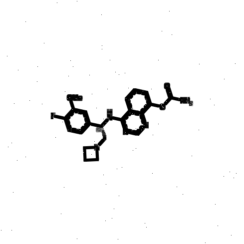 COc1cc([C@@H](CN2CCC2)Nc2ncnc3c(OC(N)=O)cccc23)ccc1F